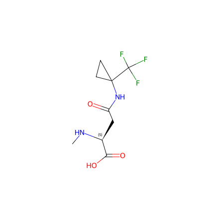 CN[C@@H](CC(=O)NC1(C(F)(F)F)CC1)C(=O)O